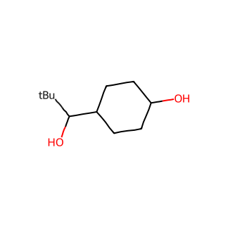 [CH2]C(C)(C)C(O)C1CCC(O)CC1